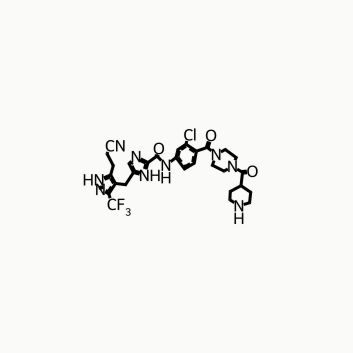 N#CCCc1[nH]nc(C(F)(F)F)c1Cc1cnc(C(=O)Nc2ccc(C(=O)N3CCN(C(=O)C4CCNCC4)CC3)c(Cl)c2)[nH]1